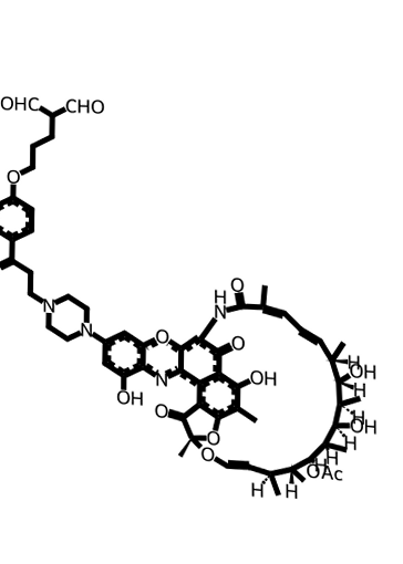 CC(=O)O[C@H]1[C@H](C)[C@H](O)[C@H](C)[C@@H](O)[C@@H](C)/C=C/C=C(/C)C(=O)Nc2c3oc4cc(N5CCN(CCC(=O)c6ccc(OCCCC(C=O)C=O)cc6)CC5)cc(O)c4nc-3c3c4c(c(C)c(O)c3c2=O)O[C@](C)(O/C=C/[C@H](C)[C@H]1C)C4=O